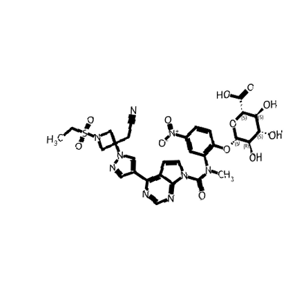 CCS(=O)(=O)N1CC(CC#N)(n2cc(-c3ncnc4c3ccn4C(=O)N(C)c3cc([N+](=O)[O-])ccc3O[C@@H]3O[C@H](C(=O)O)[C@@H](O)[C@H](O)[C@H]3O)cn2)C1